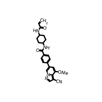 C=CC(=O)NC1CCC(NC(=O)c2ccc(-c3cc(OC)c4c(C#N)cnn4c3)cc2)CC1